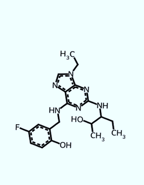 CCC(Nc1nc(NCc2cc(F)ccc2O)c2ncn(CC)c2n1)C(C)O